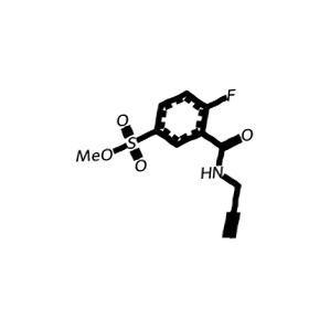 C#CCNC(=O)c1cc(S(=O)(=O)OC)ccc1F